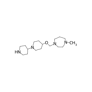 CN1CCCN(COC2CCN(C3CCNCC3)CC2)CC1